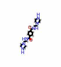 O=C(NCCN1CCNCC1)C1CCC(C(=O)NCCN2CCNCC2)CC1